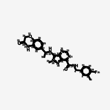 Cc1cc(CNC(=O)c2ncnc3c(NC(C)c4ccc5c(c4)NC(=O)CO5)n(C)nc23)ccc1F